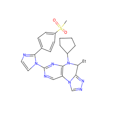 CCC1c2nncn2-c2cnc(-n3ccnc3-c3ccc(S(C)(=O)=O)cc3)nc2N1C1CCCC1